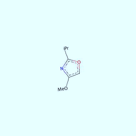 [CH2]Oc1coc(C(C)C)n1